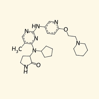 Cc1cnc(Nc2ccc(OCCN3CCCCC3)nc2)nc1N(C1CCCC1)C1CCNC1=O